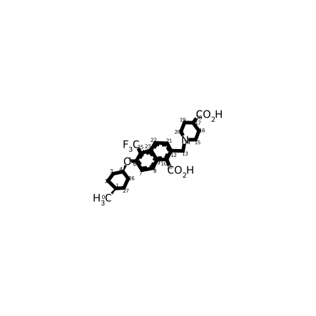 C[C@H]1CC[C@@H](Oc2ccc3c(C(=O)O)c(CN4CCC(C(=O)O)CC4)ccc3c2C(F)(F)F)CC1